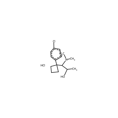 CC(O)C(N(C)C)C1(c2ccc(Cl)cc2)CCC1.Cl